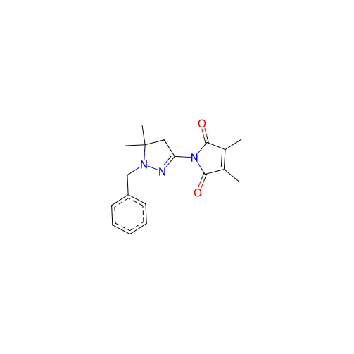 CC1=C(C)C(=O)N(C2=NN(Cc3ccccc3)C(C)(C)C2)C1=O